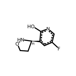 Oc1ncc(F)cc1[C@H]1CCON1